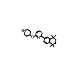 CC1(C)CCC(C)(C)c2cc(-c3nccc(OC4CCNCC4)n3)ccc21